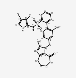 CCCc1cc(Cn2c(CCC)nc3c2C(=O)CCCC3)ccc1-c1ccccc1S(=O)(=O)Nc1onc(C)c1C